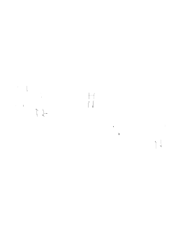 CC(C)(C)S(=O)(=O)N[C@H]1CC[C@H](c2cc3nc(-c4ccnc(Cl)c4)ccc3[nH]2)CC1